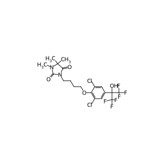 CN1C(=O)N(CCCCOc2c(Cl)cc(C(O)(C(F)(F)F)C(F)(F)F)cc2Cl)C(=O)C1(C)C